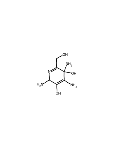 NC1=C(O)C(N)N=C(CO)C1(N)O